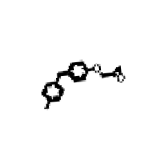 Cc1ccc(Cc2ccc(OCC3CO3)cc2)cc1